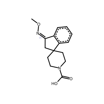 CO/N=C1/CC2(CCN(C(=O)O)CC2)c2ccccc21